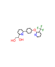 OCC(O)c1cccc(-c2ccc(Oc3ncccc3C(F)(F)F)cc2)n1